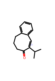 CC(C)/C1=C/c2ccccc2CCCC1=O